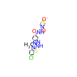 Cn1c(Nc2nc3ccc(Cl)cc3s2)nc2cc(C(=O)NCC(=O)N3CC[S+]([O-])CC3)ccc21